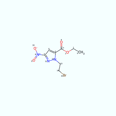 CCOC(=O)c1cc([N+](=O)[O-])nn1CCBr